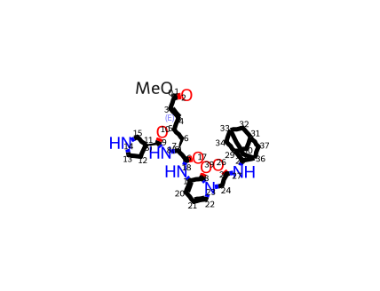 COC(=O)/C=C/CC[C@H](NC(=O)[C@H]1CCNC1)C(=O)Nc1cccn(CC(=O)NC2C3CC4CC(C3)CC2C4)c1=O